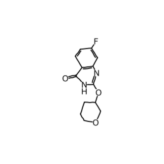 O=c1[nH]c(OC2CCCOC2)nc2cc(F)ccc12